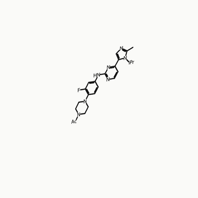 CC(=O)N1CCN(c2ccc(Nc3nccc(-c4cnc(C)n4C(C)C)n3)cc2F)CC1